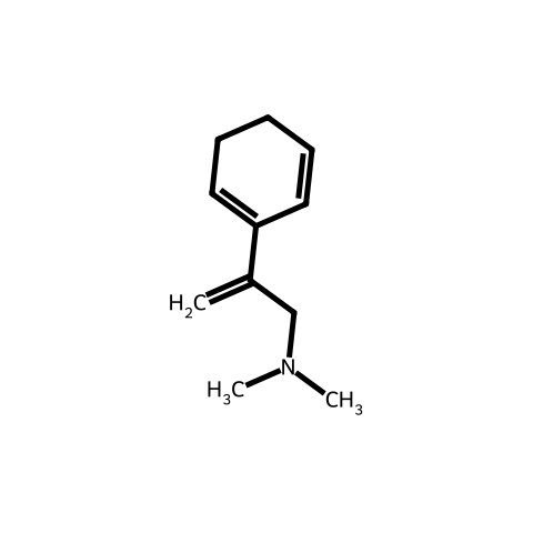 C=C(CN(C)C)C1=CCCC=C1